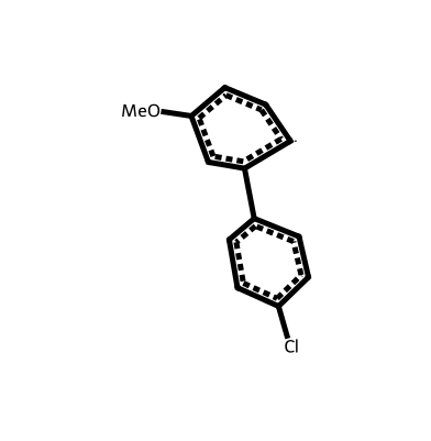 COc1cc[c]c(-c2ccc(Cl)cc2)c1